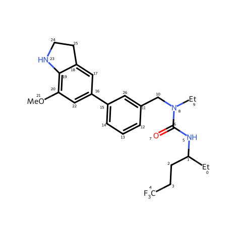 CCC(CCC(F)(F)F)NC(=O)N(CC)Cc1cccc(-c2cc3c(c(OC)c2)NCC3)c1